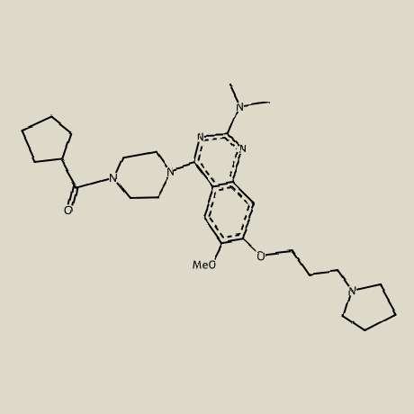 COc1cc2c(N3CCN(C(=O)C4CCCC4)CC3)nc(N(C)C)nc2cc1OCCCN1CCCC1